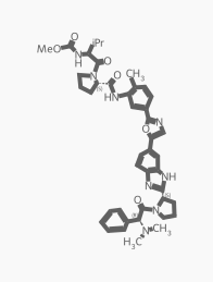 COC(=O)NC(C(=O)N1CCC[C@H]1C(=O)Nc1cc(-c2ncc(-c3ccc4nc([C@@H]5CCCN5C(=O)[C@@H](c5ccccc5)N(C)C)[nH]c4c3)o2)ccc1C)C(C)C